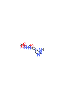 CC(=O)N(CCNC(=O)OC(C)(C)C)Cc1cccc(-c2ccc3ncnc(NC4CC4)c3c2)c1